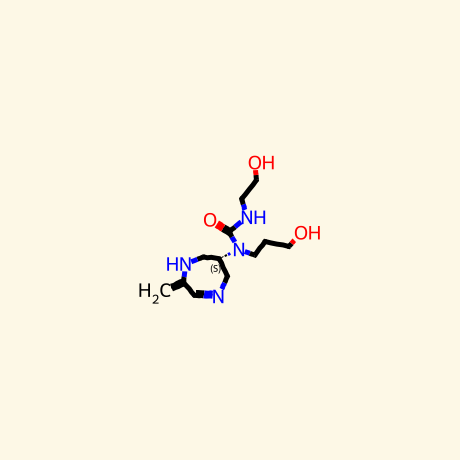 C=C1C=NC[C@@H](N(CCCO)C(=O)NCCO)CN1